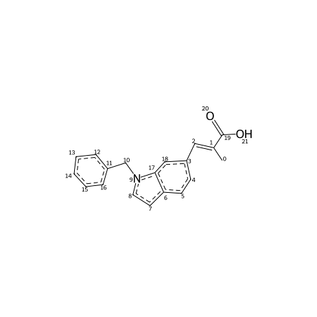 C/C(=C\c1ccc2ccn(Cc3ccccc3)c2c1)C(=O)O